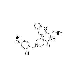 CC(C)CC1NC(=O)C2(CCN(Cc3ccc(OC(C)C)cc3Cl)CC2)N(Cc2cccs2)C1=O